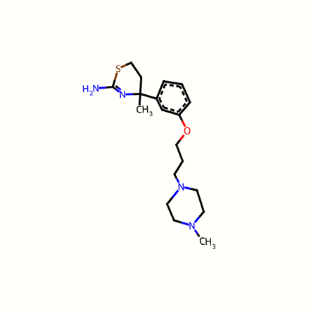 CN1CCN(CCCOc2cccc(C3(C)CCSC(N)=N3)c2)CC1